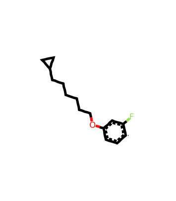 Fc1[c]ccc(OCCCCCCC2CC2)c1